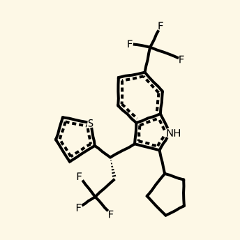 FC(F)(F)C[C@H](c1cccs1)c1c(C2CCCC2)[nH]c2cc(C(F)(F)F)ccc12